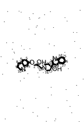 O[C@H](COc1ccc2cccnc2c1)CN1CCC(O)(c2cnc3ccccc3c2)CC1